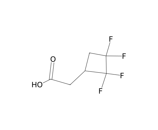 O=C(O)CC1CC(F)(F)C1(F)F